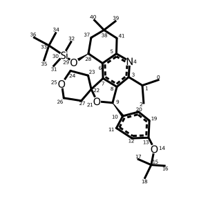 CC(C)c1nc2c(c3c1[C@@H](c1ccc(OC(C)(C)C)cc1)OC31CCOCC1)[C@@H](O[Si](C)(C)C(C)(C)C)CC(C)(C)C2